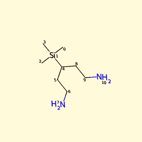 C[Si](C)(C)C(CCN)CCN